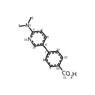 CN(C)c1ccc(-c2ccc(C(=O)O)cc2)cn1